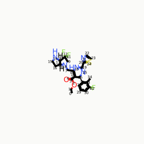 CCOC(=O)C1=C(CN2CC(F)(F)[C@@H]3NCC[C@@H]32)NC(c2nccs2)=N[C@H]1c1cccc(F)c1C